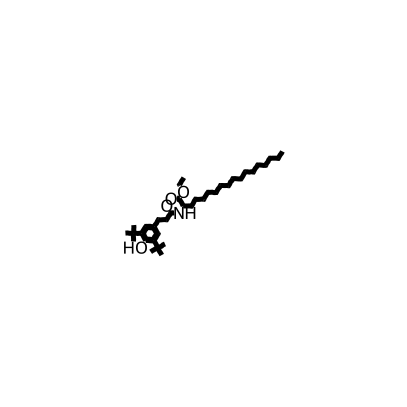 CCCCCCCCCCCCCCCCC(NC(=O)CCc1cc(C(C)(C)C)c(O)c(C(C)(C)C)c1)C(=O)OCC